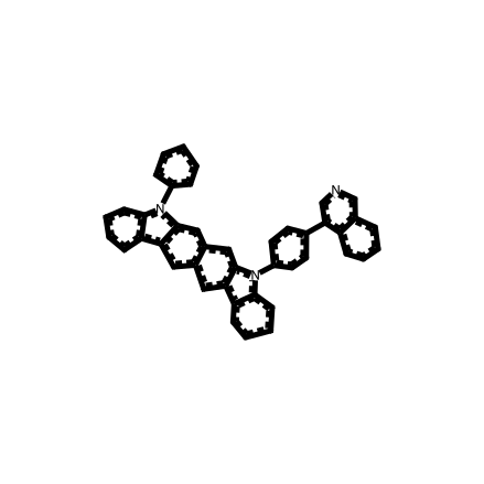 c1ccc(-n2c3ccccc3c3cc4cc5c6ccccc6n(-c6ccc(-c7cncc8ccccc78)cc6)c5cc4cc32)cc1